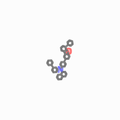 c1ccc(-c2cccc(N(c3ccc(-c4ccc5oc6c(-c7ccccc7)cccc6c5c4)cc3)c3cccc4ccccc34)c2)cc1